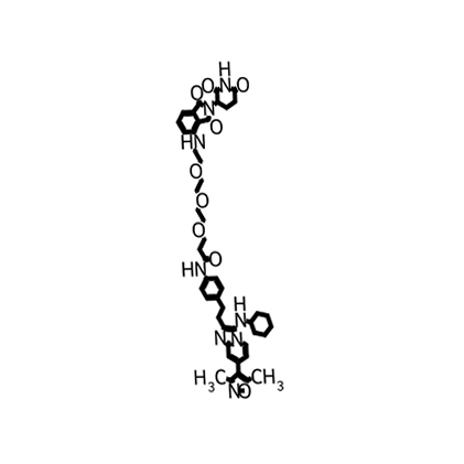 Cc1noc(C)c1-c1ccn2c(NC3CCCCC3)c(CCc3ccc(NC(=O)CCOCCOCCOCCNc4cccc5c4C(=O)N(C4CCC(=O)NC4=O)C5=O)cc3)nc2c1